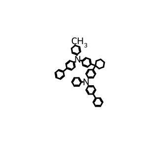 CC1C=CC(N(c2ccc(-c3ccccc3)cc2)c2ccc(C3(c4ccc(N(c5ccccc5)c5ccc(-c6ccccc6)cc5)cc4)CCCCC3)cc2)=CC1